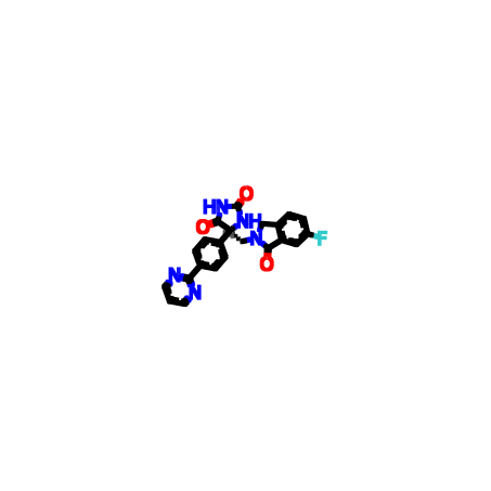 O=C1NC(=O)[C@](CN2Cc3ccc(F)cc3C2=O)(c2ccc(-c3ncccn3)cc2)N1